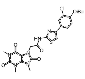 CC(C)COc1ccc(-c2csc(NC(=O)Cn3c(=O)n(C)c4c3c(=O)n(C)c(=O)n4C)n2)cc1Cl